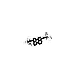 CC(C)(C)C#Cc1ccc2c3ccc(C#CC(C)(C)C)c4cccc(c5cccc1c52)c43